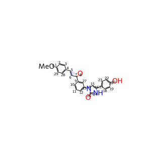 COc1ccc(/C=C/C(=O)c2cccc(-n3cc(-c4ccc(O)cc4)[nH]c3=O)c2)cc1